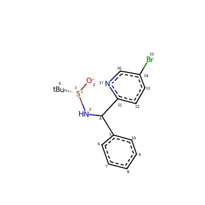 CC(C)(C)[S@+]([O-])NC(c1ccccc1)c1ccc(Br)cn1